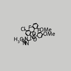 COC1=CCC(S(=O)(=O)N(Cc2nnn(C)n2)c2ccc(Cl)cc2Cc2c(F)cccc2F)C=C1OC